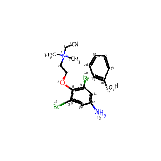 C[N+](C)(CC#N)CCOc1c(Br)cc(N)cc1Br.O=S(=O)(O)c1ccccc1